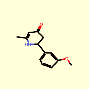 COc1cccc(C2CC(=O)C=C(C)N2)c1